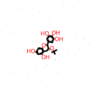 CC(C)(C)O[C@@H]1Cc2c(O)cc(O)cc2OC1c1cc(O)c(O)c(O)c1